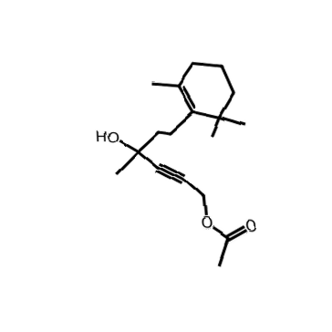 CC(=O)OCC#CC(C)(O)CCC1=C(C)CCCC1(C)C